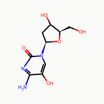 Nc1nc(=O)n([C@H]2CC(O)[C@@H](CO)O2)cc1O